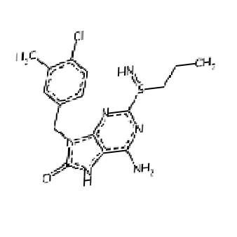 CCCS(=N)c1nc(N)c2[nH]c(=O)n(Cc3ccc(Cl)c(C)c3)c2n1